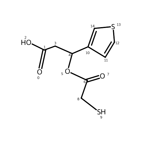 O=C(O)CC(OC(=O)CS)c1ccsc1